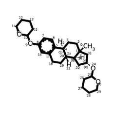 C[C@]12CC[C@@H]3c4ccc(OC5CCCCO5)cc4CC[C@H]3[C@@H]1C[C@@H](OC1CCCCO1)C2